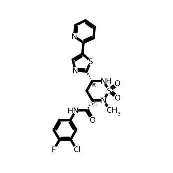 CN1[C@H](C(=O)Nc2ccc(F)c(Cl)c2)C[C@H](c2ncc(-c3ccccn3)s2)NS1(=O)=O